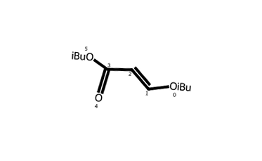 CC(C)CO/C=C/C(=O)OCC(C)C